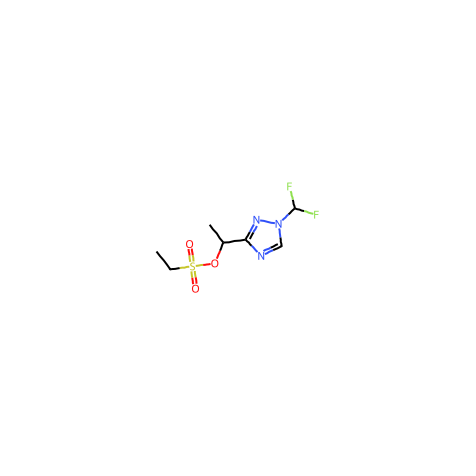 CCS(=O)(=O)OC(C)c1ncn(C(F)F)n1